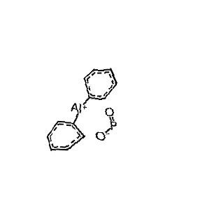 O=P[O-].c1cc[c]([Al+][c]2ccccc2)cc1